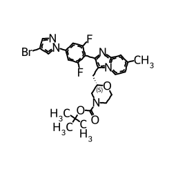 Cc1ccn2c(C[C@H]3CN(C(=O)OC(C)(C)C)CCO3)c(-c3c(F)cc(-n4cc(Br)cn4)cc3F)nc2c1